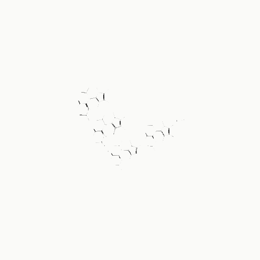 CC1=C(C)C(C)C(N(C(=NC(C)C)C(=O)[O-])C(C)C)=C1C.CC1=C(C)C(C)C(N(C(=NC(C)C)C(=O)[O-])C(C)C)=C1C.CC1=C(C)C(C)C(N(C(=NC(C)C)C(=O)[O-])C(C)C)=C1C.CC1=C(C)C(C)C(N(C(=NC(C)C)C(=O)[O-])C(C)C)=C1C.[Ru+4]